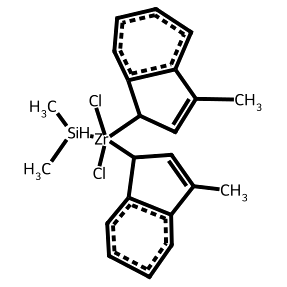 CC1=C[CH]([Zr]([Cl])([Cl])([CH]2C=C(C)c3ccccc32)[SiH](C)C)c2ccccc21